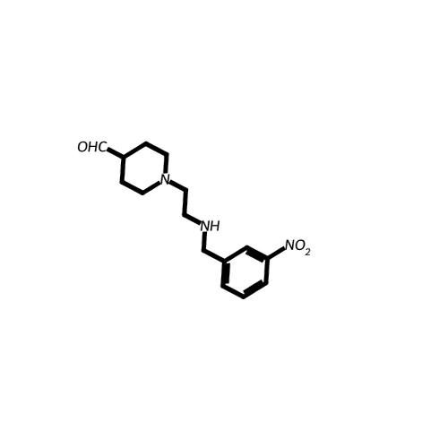 O=CC1CCN(CCNCc2cccc([N+](=O)[O-])c2)CC1